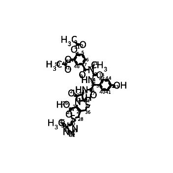 CC(=O)Oc1ccc(C(=O)N(C)C(=O)NC(C(=O)NC2C(=O)N3C(C(=O)O)=C(CSc4nnnn4C)CS[C@@H]23)c2ccc(O)cc2)cc1OC(C)=O